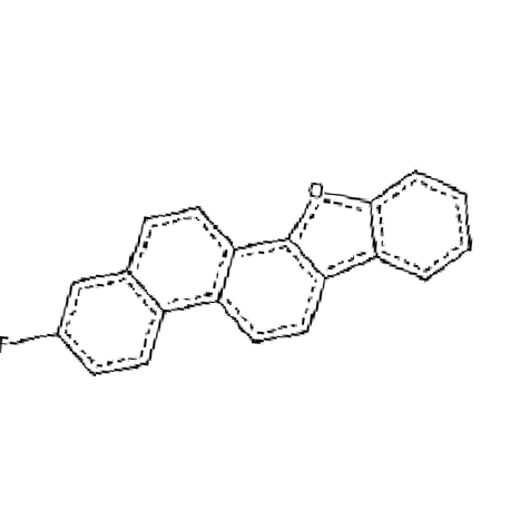 Fc1ccc2c(ccc3c2ccc2c4ccccc4oc23)c1